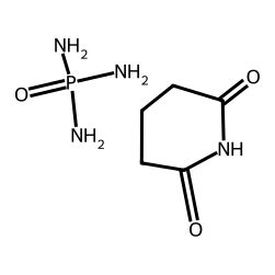 NP(N)(N)=O.O=C1CCCC(=O)N1